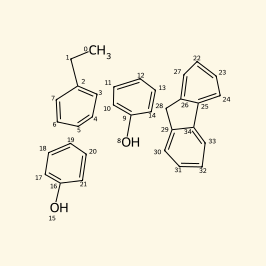 CCc1ccccc1.Oc1ccccc1.Oc1ccccc1.c1ccc2c(c1)Cc1ccccc1-2